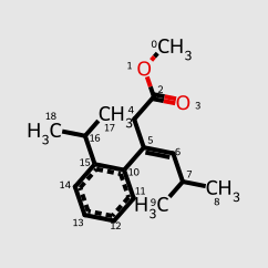 COC(=O)C/C(=C/C(C)C)c1ccccc1C(C)C